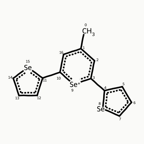 Cc1cc(-c2ccc[se]2)[se+]c(-c2ccc[se]2)c1